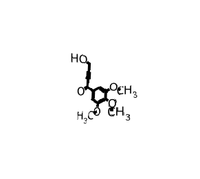 COc1cc(C(=O)C#CCO)cc(OC)c1OC